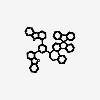 C1=C(c2cc(-c3cccc4c3oc3ccccc34)cc(-c3cccc4c3oc3ccccc34)c2)c2ccc3c(c2-c2ccccc2C1)-c1ccccc1C31c2ccccc2-c2ccccc21